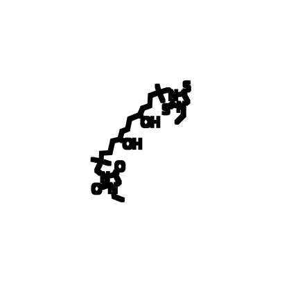 CCN1CC(=O)N(CC(C)(C)CCCC(O)CCCC(O)CCCC(C)(C)CN2C(=S)CN(CC)C2=S)C1=O